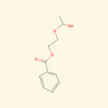 [CH2]C(O)OCCOC(=O)c1ccccc1